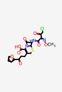 CO/N=C(/C(=O)CCl)C(=O)NC1C(=O)N2C(C(=O)O)=C(CCC(=O)c3ccco3)CSC12